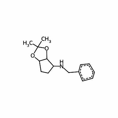 CC1(C)OC2CCC(NCc3ccccc3)C2O1